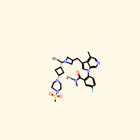 Cc1cncc2c1c(CC1CN(C(C(C)C)[C@H]3C[C@@H](N4CCN(S(C)(=O)=O)CC4)C3)C1)cn2-c1ccc(F)cc1C(=O)N(C)C(C)C